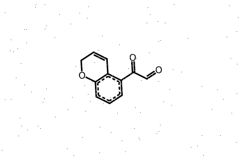 O=CC(=O)c1cccc2c1C=CCO2